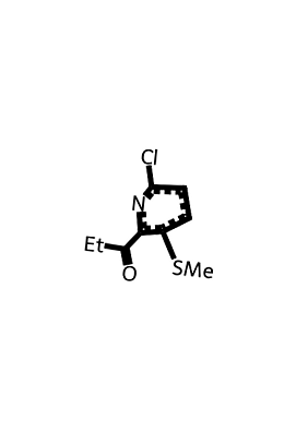 CCC(=O)c1nc(Cl)ccc1SC